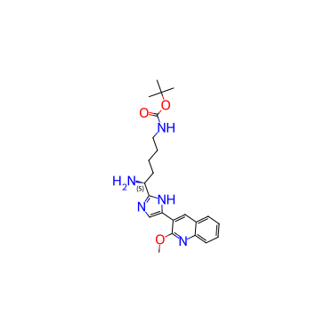 COc1nc2ccccc2cc1-c1cnc([C@@H](N)CCCCNC(=O)OC(C)(C)C)[nH]1